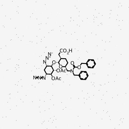 CC(=O)O[C@@H]1[C@@H](OC(C)=O)[C@H](N=[N+]=[N-])C[C@H](N=[N+]=[N-])[C@H]1O[C@H]1O[C@H](CN(Cc2ccccc2)C(=O)OCc2ccccc2)CC[C@@H]1CC(=O)O